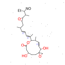 CCC(N=O)C(C)C1OC1CC(C)/C=C/C=C(\C)C1OC(=O)CC(O)CCC2(CO2)C(O)/C=C/C1C